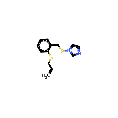 C=CCSc1ccccc1CSn1ccnc1